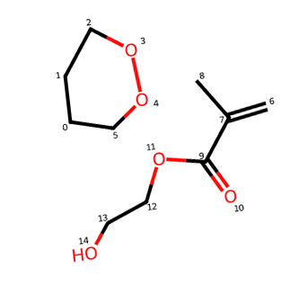 C1CCOOC1.C=C(C)C(=O)OCCO